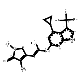 CC1=C(/C=C(\C)Nc2cc(C3CC3)c3c(C(F)(F)F)c[nH]c3n2)CN(C)C1=O